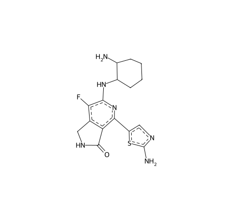 Nc1ncc(-c2nc(NC3CCCCC3N)c(F)c3c2C(=O)NC3)s1